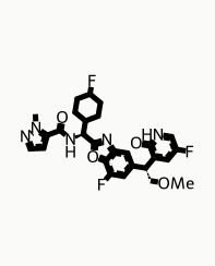 COC[C@H](c1cc(F)c2oc([C@@H](NC(=O)c3ccnn3C)C3CCC(F)CC3)nc2c1)c1cc(F)c[nH]c1=O